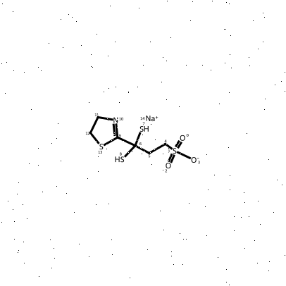 O=S(=O)([O-])CCC(S)(S)C1=NCCS1.[Na+]